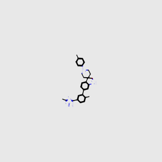 Cc1ccc(N2CCC3(CC2)C(=O)Nc2cc(-c4cc(-c5nnc(C)[nH]5)ccc4C)ccc23)cc1